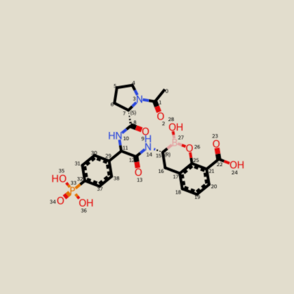 CC(=O)N1CCC[C@H]1C(=O)NC(C(=O)N[C@H]1Cc2cccc(C(=O)O)c2OB1O)c1ccc(P(=O)(O)O)cc1